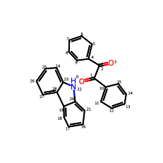 O=C(C(=O)c1ccccc1)c1ccccc1.c1ccc2c(c1)[nH]c1ccccc12